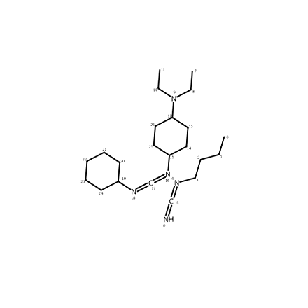 CCCCN=C=N.CCN(CC)C1CCC(N=C=NC2CCCCC2)CC1